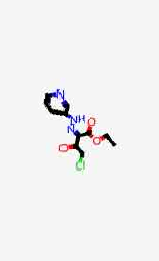 CCOC(=O)C(=NNc1cccnc1)C(=O)CCl